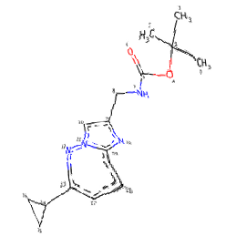 CC(C)(C)OC(=O)NCc1cn2nc(C3CC3)ccc2n1